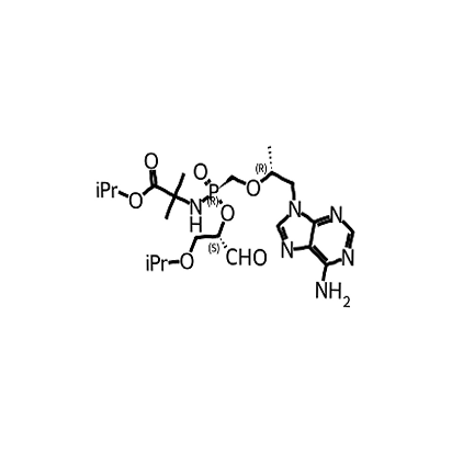 CC(C)OC[C@@H](C=O)O[P@](=O)(CO[C@H](C)Cn1cnc2c(N)ncnc21)NC(C)(C)C(=O)OC(C)C